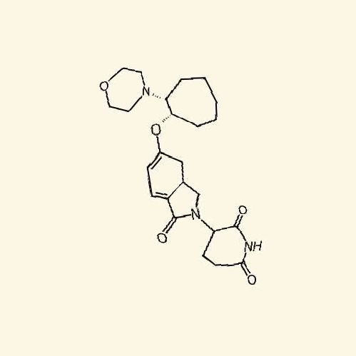 O=C1CCC(N2CC3CC(O[C@H]4CCCCC[C@H]4N4CCOCC4)=CC=C3C2=O)C(=O)N1